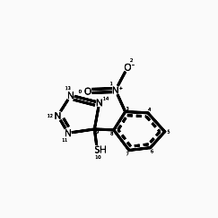 O=[N+]([O-])c1ccccc1C1(S)N=NN=N1